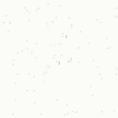 O=C1c2ccccc2C(=O)N1Cc1c(Cl)ccc(C(F)(F)F)c1Cl